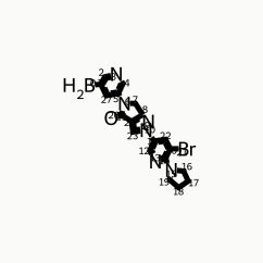 Bc1cncc(N2Cc3nn(-c4cnc(N5CCCC5)c(Br)c4)cc3C2=O)c1